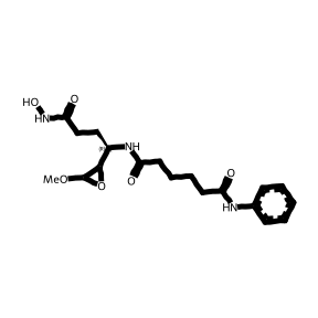 COC1OC1[C@@H](CCC(=O)NO)NC(=O)CCCCC(=O)Nc1ccccc1